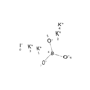 [I-].[K+].[K+].[K+].[K+].[O-]B([O-])[O-]